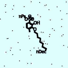 CCCCCCCCCCCCCCCCCCOc1c(C)ccc(S(=O)(=O)OCCC)c1O